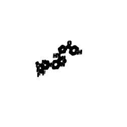 COc1ncc(N2CCc3ncnc(N[C@H]4CCN(C(=O)C5CCNCC5)C4)c3C2)cc1C(F)(F)F